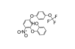 O=[N+]([O-])c1ccc(Oc2ccc(OC(F)(F)F)cc2)cc1Oc1ccccc1O